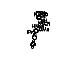 COc1cc(N2CCC(N3CCN(C)CC3)CC2)c(C(C)C)cc1Nc1ncc(C#N)c(Nc2ccc3nccnc3c2N(C)S(C)(=O)=O)n1